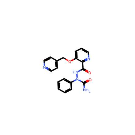 NC(=O)N(NC(=O)c1ncccc1OCc1ccncc1)c1ccccc1